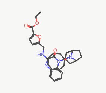 CCOC(=O)c1ccc(CNc2nc3ccccc3n(C3CC4CCC(C3)N4C3CCCCCCC3)c2=O)o1